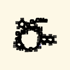 COC(=O)[C@@H]1C[C@@H]2CN1C(=O)[C@H](C1CCCC1)NC(=O)O[C@@H]1CCC[C@H]1CCCC/C=C/c1nc3ccccc3cc1O2